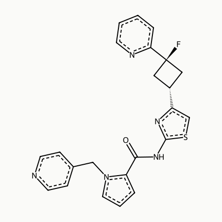 O=C(Nc1nc([C@H]2C[C@@](F)(c3ccccn3)C2)cs1)c1cccn1Cc1ccncc1